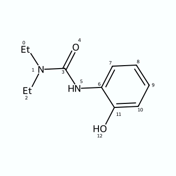 CCN(CC)C(=O)Nc1ccccc1O